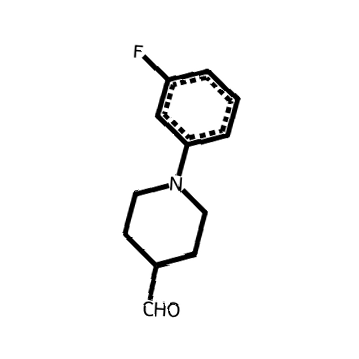 O=CC1CCN(c2cccc(F)c2)CC1